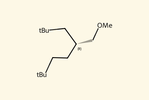 COC[C@H](CCC(C)(C)C)CC(C)(C)C